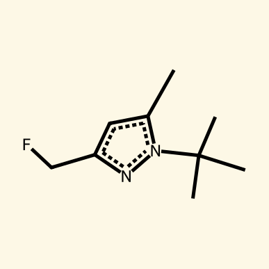 Cc1cc(CF)nn1C(C)(C)C